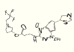 O=C(CCNc1n[n+](O)c2cc(-c3cncs3)ccc2[n+]1[O-])OC1CCN(CC(F)(F)F)C1